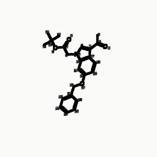 CC(=O)c1cn(CC(=O)OC(C)(C)C)c2cc(OCc3ccccc3)ccc12